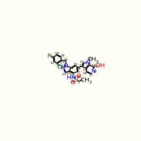 CCS(=O)(=O)Nc1cc(-c2cn(C)c3c(O)nccc23)cc2c1cnn2Cc1ccc(F)cc1Cl